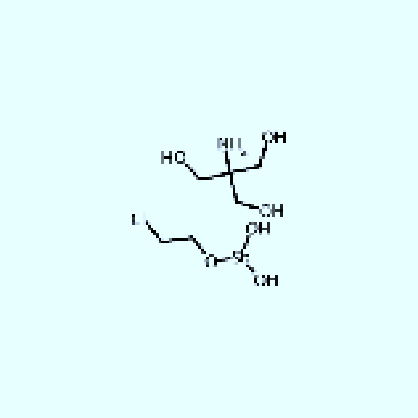 NC(CO)(CO)CO.[OH][Sb]([OH])[O]CCCl